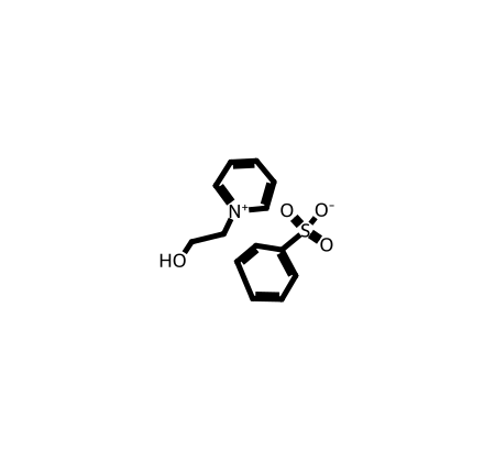 O=S(=O)([O-])c1ccccc1.OCC[n+]1ccccc1